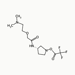 CN(C)CCOCC(=O)N[C@H]1CCN(OC(=O)C(F)(F)F)C1